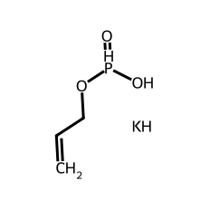 C=CCO[PH](=O)O.[KH]